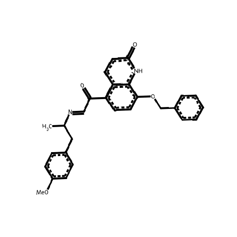 COc1ccc(CC(C)N=CC(=O)c2ccc(OCc3ccccc3)c3[nH]c(=O)ccc23)cc1